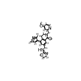 COc1ccnc(CN2CCc3c(cc(CNC4=NCCO4)cc3-c3cn(C)nc3C)C2=O)c1